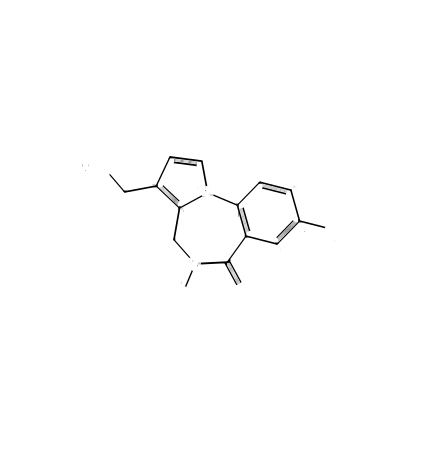 COCc1ccn2c1CN(C)C(=O)c1cc(C)ccc1-2